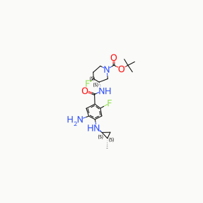 C[C@H]1C[C@@H]1Nc1cc(F)c(C(=O)N[C@H]2CN(C(=O)OC(C)(C)C)CC[C@@H]2F)cc1N